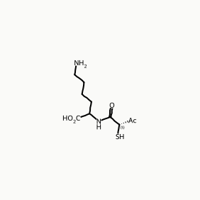 CC(=O)[C@H](S)C(=O)NC(CCCCN)C(=O)O